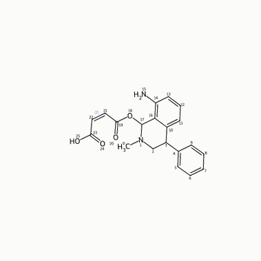 CN1CC(c2ccccc2)c2cccc(N)c2C1OC(=O)/C=C\C(=O)O